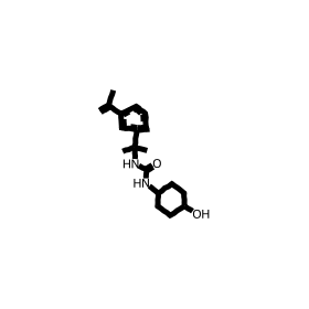 C=C(C)c1cccc(C(C)(C)NC(=O)NC2CCC(O)CC2)c1